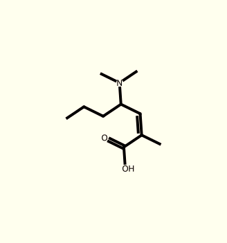 CCCC(C=C(C)C(=O)O)N(C)C